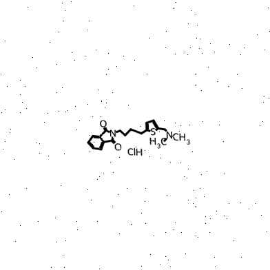 CN(C)Cc1ccc(CCCCN2C(=O)c3ccccc3C2=O)s1.Cl